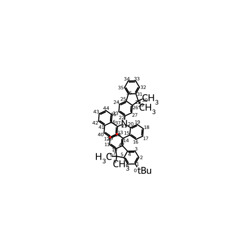 CC(C)(C)c1ccc2c(c1)C(C)(C)c1cccc(-c3ccccc3N(c3ccc4c(c3)C(C)(C)c3ccccc3-4)c3cccc4ccccc34)c1-2